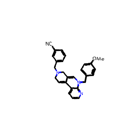 COc1ccc(CN2C=C3CN(Cc4cccc(C#N)c4)CC=C3c3cccnc32)cc1